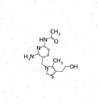 CC(=O)Nc1ccc(C[n+]2csc(CCO)c2C)c(N)n1